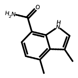 Cc1ccc(C(N)=O)c2[nH]cc(C)c12